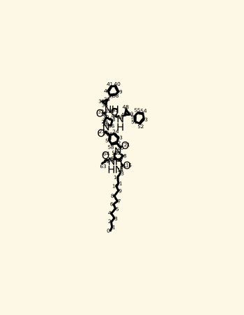 CCCCCCCCCCCCCCNC(=O)[C@@H]1CN(C(=O)c2ccc(C(=O)N3C[C@@H](C(=O)NC4C[C@@H]4c4ccccc4)[C@H](C(=O)N[C@H]4C[C@@H]4c4ccccc4)C3)cc2)C[C@H]1NC(C)=O